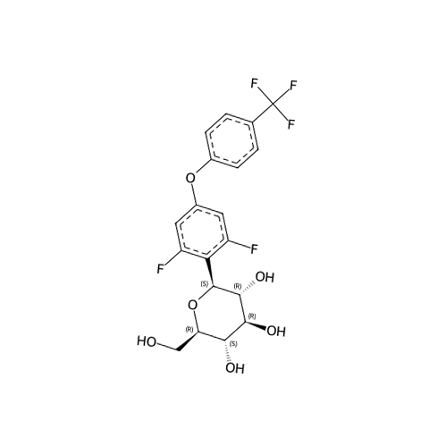 OC[C@H]1O[C@@H](c2c(F)cc(Oc3ccc(C(F)(F)F)cc3)cc2F)[C@H](O)[C@@H](O)[C@@H]1O